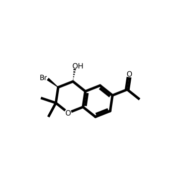 CC(=O)c1ccc2c(c1)[C@@H](O)[C@H](Br)C(C)(C)O2